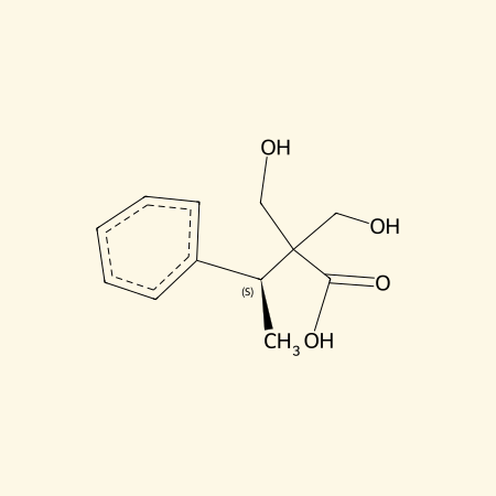 C[C@@H](c1ccccc1)C(CO)(CO)C(=O)O